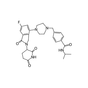 CC(C)NC(=O)c1ccc(CN2CCN(c3cc(F)cc4c3CN(C3CCC(=O)NC3=O)C4=O)CC2)cc1